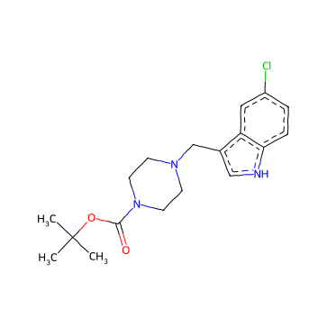 CC(C)(C)OC(=O)N1CCN(Cc2c[nH]c3ccc(Cl)cc23)CC1